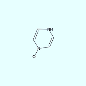 [O]N1C=CNC=C1